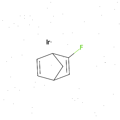 FC1=CC2C=CC1C2.[Ir]